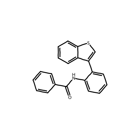 O=C(Nc1ccccc1-c1csc2ccccc12)c1ccccc1